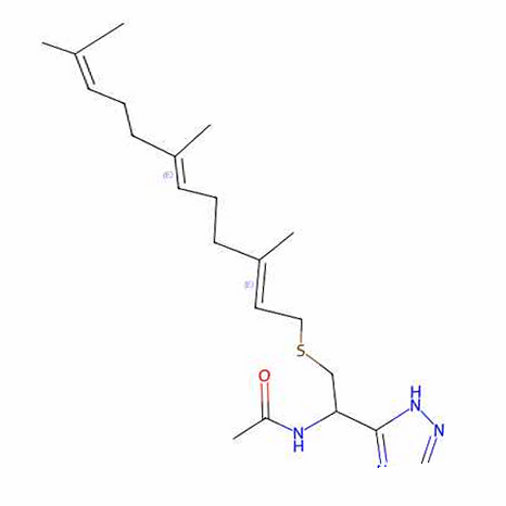 CC(=O)NC(CSC/C=C(\C)CC/C=C(\C)CCC=C(C)C)c1ncn[nH]1